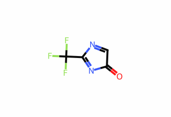 O=C1C=NC(C(F)(F)F)=N1